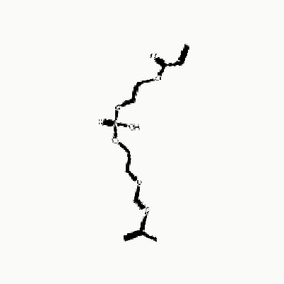 C=CC(=O)OCCOP(=O)(O)OCCOCOC(=C)C